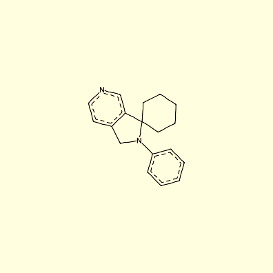 c1ccc(N2Cc3ccncc3C23CCCCC3)cc1